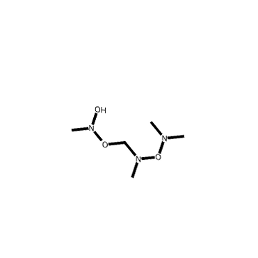 CN(C)ON(C)CON(C)O